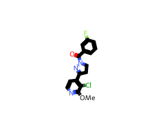 COc1nccc(C2=NN(C(=O)c3cccc(F)c3)CC2)c1Cl